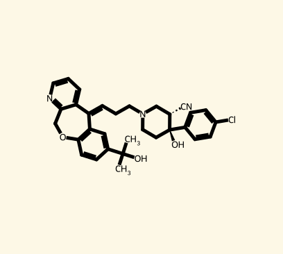 CC(C)(O)c1ccc2c(c1)C(=CCCN1CC[C@@](O)(c3ccc(Cl)cc3)[C@@H](C#N)C1)c1cccnc1CO2